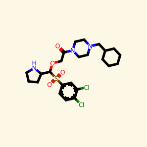 O=C(COC(C1CCCN1)S(=O)(=O)c1ccc(Cl)c(Cl)c1)N1CCN(CC2CCCCC2)CC1